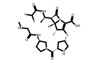 CNCC(=O)N[C@@H]1CCN(C(=O)[C@@H]2C[C@H](SC3=C(C(=O)O)N4C(=O)[C@H]([C@@H](C)NC(=O)C(F)F)[C@H]4[C@H]3C)CN2)C1